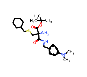 CN(C)c1ccc(CNC(=O)[C@](N)(CSCC2CCCCC2)C(=O)OC(C)(C)C)cc1